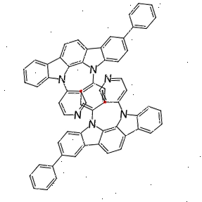 c1ccc(-c2ccc3c(c2)c2ccc4c5ccccc5n(-c5ccncc5)c4c2n3-c2ccc(-n3c4ccc(-c5ccccc5)cc4c4ccc5c6ccccc6n(-c6ccncc6)c5c43)cc2)cc1